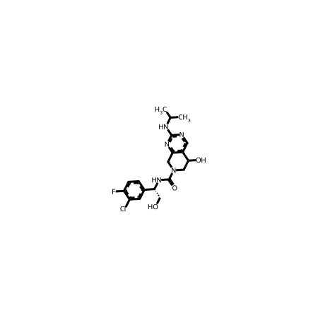 CC(C)Nc1ncc2c(n1)CN(C(=O)N[C@H](CO)c1ccc(F)c(Cl)c1)CC2O